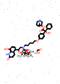 CC(C)(C)OC(=O)N(CCCCCOc1ccc(C(O)(C(=O)OC2CN3CCC2CC3)c2ccccc2)cc1)CC(O[Si](C)(C)C(C)(C)C)c1ccc(O)c2[nH]c(=O)ccc12.O=CO